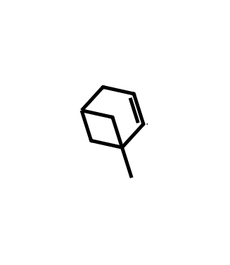 CC12[C]=CCC(C1)C2